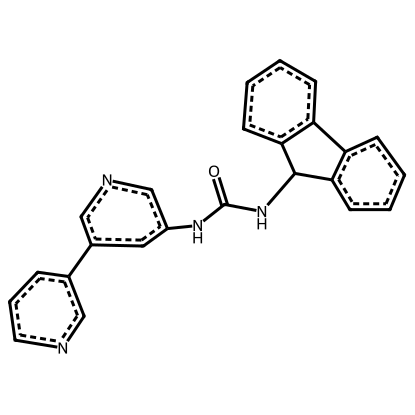 O=C(Nc1cncc(-c2cccnc2)c1)NC1c2ccccc2-c2ccccc21